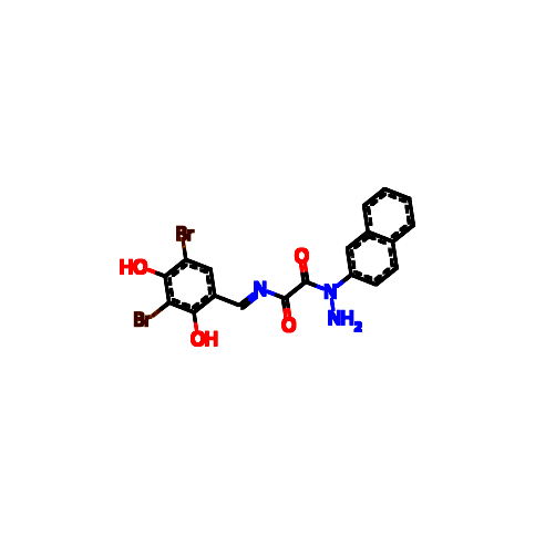 NN(C(=O)C(=O)N=Cc1cc(Br)c(O)c(Br)c1O)c1ccc2ccccc2c1